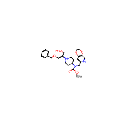 CC(C)(C)OC(=O)N(Cc1cc2c(cn1)OCCO2)C1CCN(C(CO)COCc2ccccc2)CC1